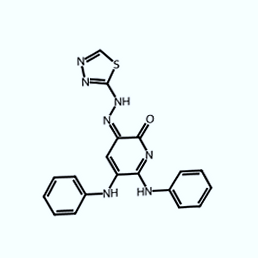 O=C1N=C(Nc2ccccc2)C(Nc2ccccc2)=CC1=NNc1nncs1